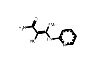 CS/C(Nc1ccccn1)=C(/C#N)C(N)=O